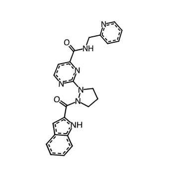 O=C(NCc1ccccn1)c1ccnc(N2CCCN2C(=O)c2cc3ccccc3[nH]2)n1